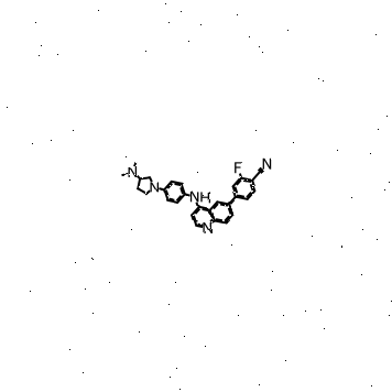 CN(C)C1CCN(c2ccc(Nc3ccnc4ccc(-c5ccc(C#N)c(F)c5)cc34)cc2)C1